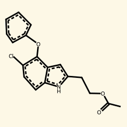 CC(=O)OCCc1cc2c(Oc3ccccc3)c(Cl)ccc2[nH]1